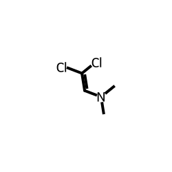 CN(C)C=C(Cl)Cl